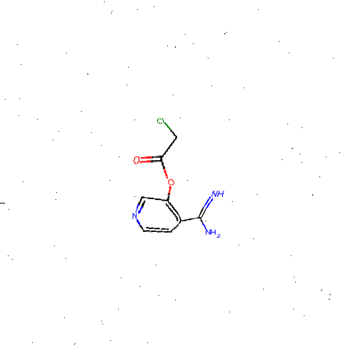 N=C(N)c1ccncc1OC(=O)CCl